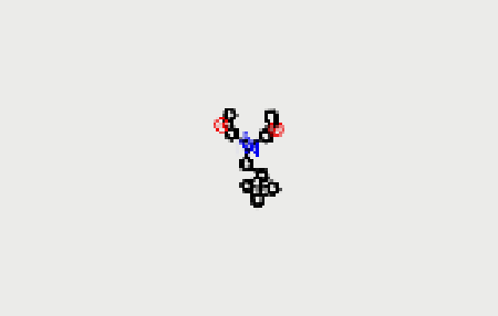 c1cc(-c2nc(-c3ccc4oc5ccccc5c4c3)nc(-c3ccc4oc5ccccc5c4c3)n2)cc(-c2cccc3c2-c2ccccc2C32c3ccccc3-c3ccccc32)c1